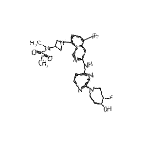 CC(C)c1ccc(N2CC(N(C)S(C)(=O)=O)C2)c2cnc(Nc3ccnc(N4CC[C@H](O)[C@H](F)C4)n3)cc12